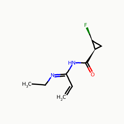 C=C/C(=N\CC)NC(=O)[C@@H]1C[C@@H]1F